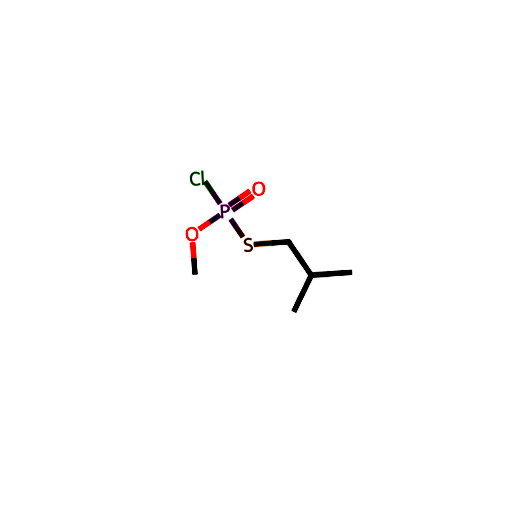 COP(=O)(Cl)SCC(C)C